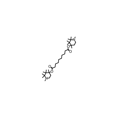 CN1CCC(C)(OC(=O)CCCCCCCCC(=O)OC2(C)CCN(C)C(C)(C)C2(C)C)C(C)(C)C1(C)C